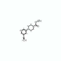 C#Cc1cncc(N2CCN(C(=O)OC(C)(C)C)CC2)c1